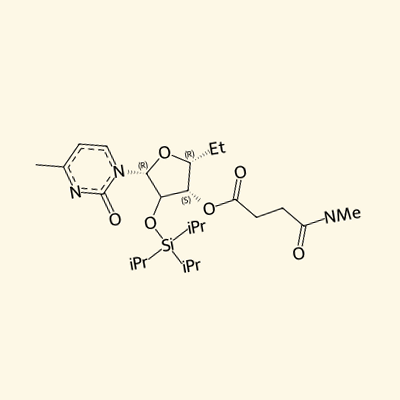 CC[C@H]1O[C@@H](n2ccc(C)nc2=O)C(O[Si](C(C)C)(C(C)C)C(C)C)[C@H]1OC(=O)CCC(=O)NC